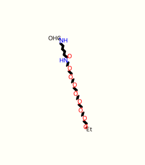 CCOCCOCCOCCOCCOCCOCCOCCOCCNC(=O)CCCCCNC=O